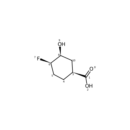 O=C(O)[C@H]1CC[C@@H](F)[C@@H](O)C1